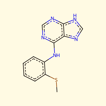 CSc1ccccc1Nc1ncnc2[nH]cnc12